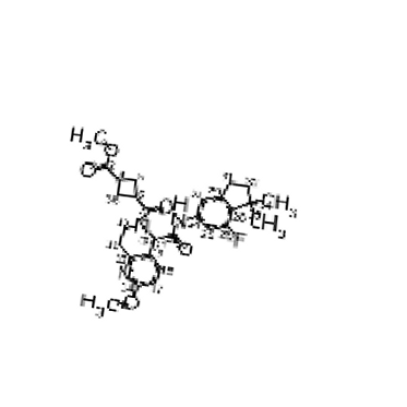 COC(=O)C1CC(C(=O)N2CCc3nc(OC)ccc3[C@@H]2C(=O)Nc2cc(F)c3c(c2)CCC3(C)C)C1